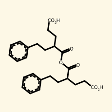 O=C(O)CCC(CCc1ccccc1)C(=O)OC(=O)C(CCC(=O)O)CCc1ccccc1